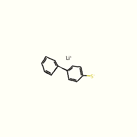 [Li+].[S-]c1ccc(-c2ccccc2)cc1